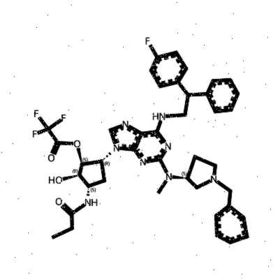 CCC(=O)N[C@H]1C[C@@H](n2cnc3c(NCC(c4ccccc4)c4ccc(F)cc4)nc(N(C)[C@H]4CCN(Cc5ccccc5)C4)nc32)[C@H](OC(=O)C(F)(F)F)[C@@H]1O